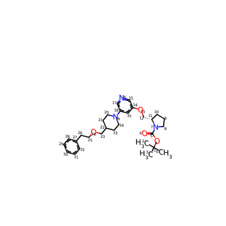 CC(C)(C)OC(=O)N1CCC[C@H]1COc1cncc(N2CCC(COCCc3ccccc3)CC2)c1